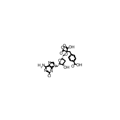 Nc1nc(Cl)nc2c1ncn2C[C@@H]1O[C@H](COC(Cc2ccc(C(=O)O)cc2)(C(=O)O)C(=O)O)C[C@H]1O